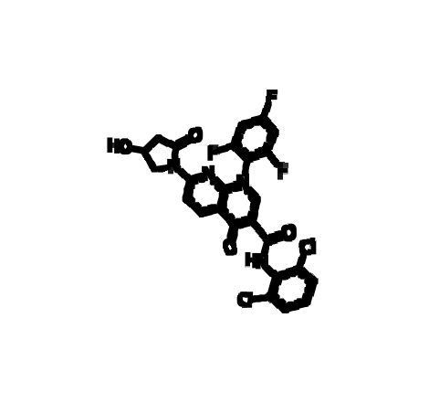 O=C(Nc1c(Cl)cccc1Cl)c1cn(-c2c(F)cc(F)cc2F)c2nc(N3CC(O)CC3=O)ccc2c1=O